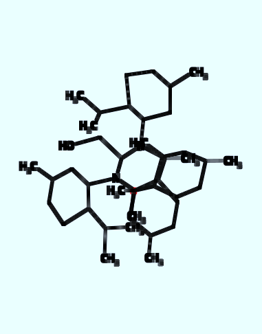 CC1CCC(C(C)C)C(N(C2CC(C)CCC2C(C)C)C(CO)N(C2CC(C)CCC2C(C)C)C2CC(C)CCC2C(C)C)C1